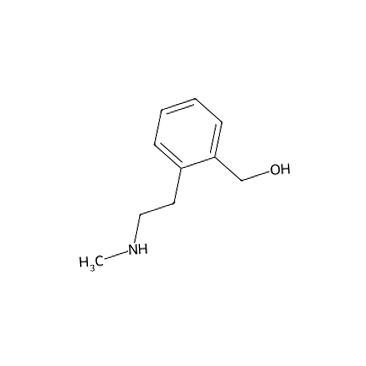 CNCCc1ccccc1CO